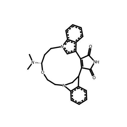 CN(C)[C@@H]1CCn2cc(c3ccccc32)C2=C(C(=O)NC2=O)C2CN(CCO1)c1ccccc12